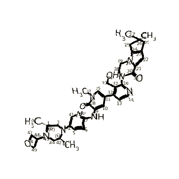 C[C@@H]1CN(c2ccc(Nc3cc(-c4ccnc(N5CCn6c(cc7c6CC(C)(C)C7)C5=O)c4CO)cn(C)c3=O)nc2)[C@@H](C)CN1C1COC1